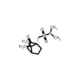 CN(C)S(=O)(=O)C[C@@]12CCC(CC1=O)C2(C)C